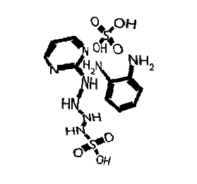 Nc1ccccc1N.O=S(=O)(O)NNNNc1ncccn1.O=S(=O)(O)O